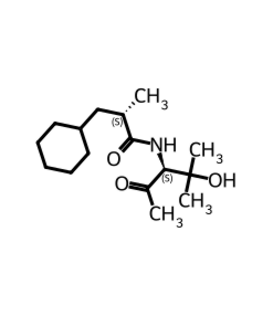 CC(=O)[C@@H](NC(=O)[C@@H](C)CC1CCCCC1)C(C)(C)O